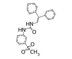 CS(=O)(=O)c1cccc(NC(=O)NC=C(c2ccccc2)c2ccccc2)c1